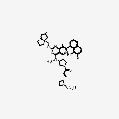 CCc1c(F)ccc2cccc(-c3ncc4c(N(C)[C@@H]5CCN(C(=O)/C=C/[C@H]6CCN6C(=O)O)C5)nc(OC[C@@]56CCCN5C[C@H](F)C6)nc4c3F)c12